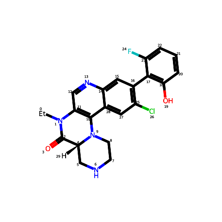 CCN1C(=O)[C@H]2CNCCN2c2c1cnc1cc(-c3c(O)cccc3F)c(Cl)cc21